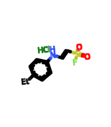 CCc1ccc(N/C=C/S(=O)(=O)F)cc1.Cl